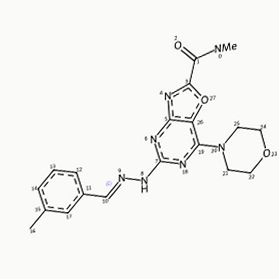 CNC(=O)c1nc2nc(N/N=C/c3cccc(C)c3)nc(N3CCOCC3)c2o1